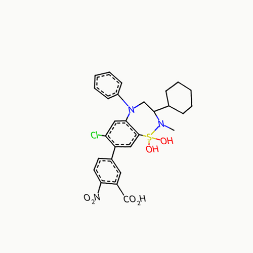 CN1C(C2CCCCC2)CN(c2ccccc2)c2cc(Cl)c(-c3ccc([N+](=O)[O-])c(C(=O)O)c3)cc2S1(O)O